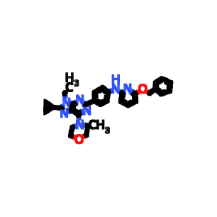 CCn1c(C2CC2)nc2c(N3CCOCC3C)nc(-c3ccc(Nc4cccc(OCc5ccccc5)n4)cc3)nc21